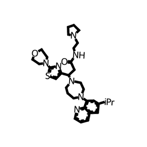 CC(C)c1cc(N2CCCN(C(CC(=O)NCCN3CCCC3)c3csc(N4CCOCC4)n3)CC2)c2ncccc2c1